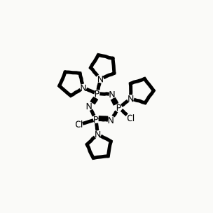 ClP1(N2CCCC2)=NP(Cl)(N2CCCC2)=NP(N2CCCC2)(N2CCCC2)=N1